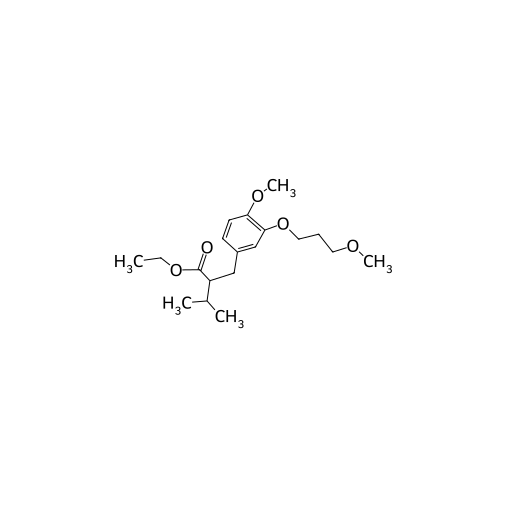 CCOC(=O)C(Cc1ccc(OC)c(OCCCOC)c1)C(C)C